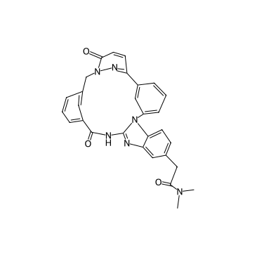 CN(C)C(=O)Cc1ccc2c(c1)nc1n2-c2cccc(c2)-c2ccc(=O)n(n2)Cc2cccc(c2)C(=O)N1